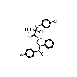 CC(c1ccc(F)cc1)C(CNC(=O)C(C)(C)Oc1ccc(Cl)cc1)c1ccccc1